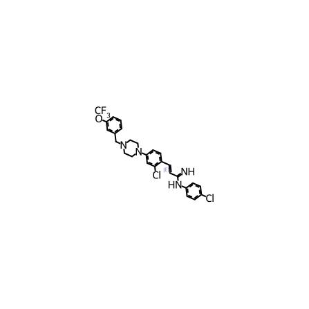 N=C(/C=C/c1ccc(N2CCN(Cc3cccc(OC(F)(F)F)c3)CC2)cc1Cl)Nc1ccc(Cl)cc1